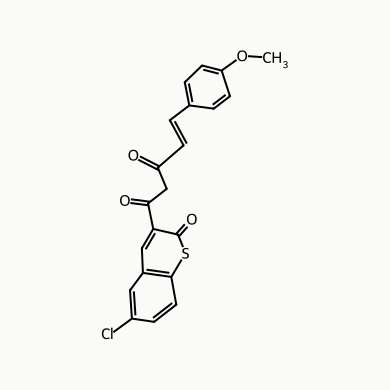 COc1ccc(/C=C/C(=O)CC(=O)c2cc3cc(Cl)ccc3sc2=O)cc1